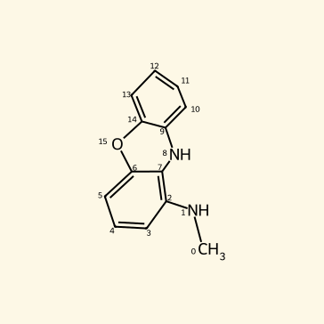 CNc1cccc2c1Nc1ccccc1O2